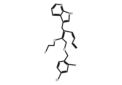 C=C/C=C\C(Cc1c[nH]c2ncccc12)=C(/COCc1ccc(Cl)cc1F)OCCF